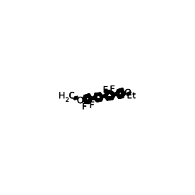 C=CCOc1ccc(C2CCC(c3ccc(-c4ccc(OCC)cc4)c(F)c3F)CC2)c(F)c1F